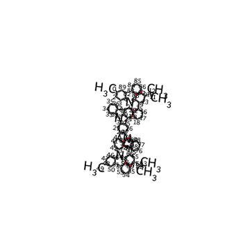 Cc1ccc(N(c2ccc(C(C)C)cc2-c2ccccc2)c2ccc3c4cc5c(cc4n4c6ccccc6c2c34)c2ccc(N(c3ccc(C)cc3-c3ccccc3)c3ccc(C(C)C)cc3-c3ccccc3)c3c4ccccc4n5c23)c(-c2ccccc2)c1